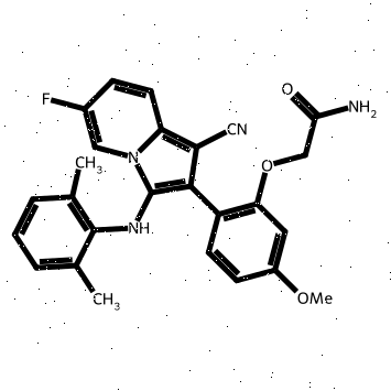 COc1ccc(-c2c(C#N)c3ccc(F)cn3c2Nc2c(C)cccc2C)c(OCC(N)=O)c1